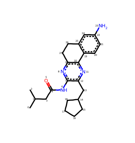 CC(C)CC(=O)Nc1nc2c(nc1CC1CCCC1)-c1ccc(N)cc1CC2